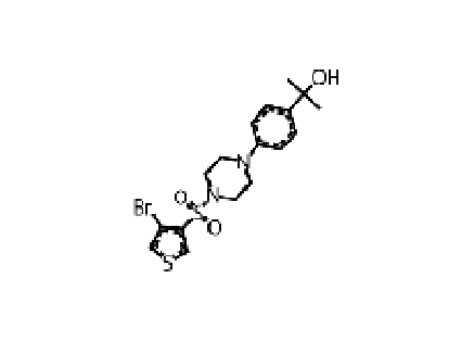 CC(C)(O)c1ccc(N2CCN(S(=O)(=O)c3cscc3Br)CC2)cc1